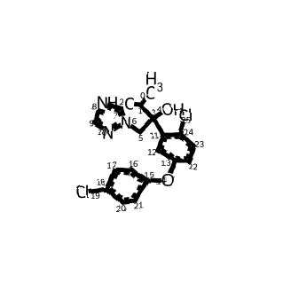 CC(C)C(O)(Cn1cncn1)c1cc(Oc2ccc(Cl)cc2)ccc1Cl